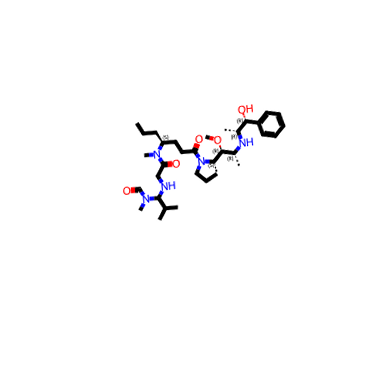 CCC[C@@H](CCC(=O)N1CCC[C@H]1[C@H](OC)[C@@H](C)N[C@H](C)[C@H](O)c1ccccc1)N(C)C(=O)CNC(C(C)C)N(C)C=O